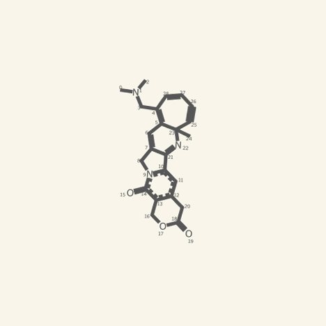 CN(C)CC1=C2C=C3Cn4c(cc5c(c4=O)COC(=O)C5)C3=NC2(C)C#CC=C1